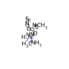 C/C(N)=C/C=C(\N)CNC(=O)c1cc(OC2CCN(CC(F)F)CC2)cc(-c2ncc(C)s2)c1